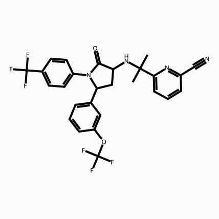 CC(C)(NC1CC(c2cccc(OC(F)(F)F)c2)N(c2ccc(C(F)(F)F)cc2)C1=O)c1cccc(C#N)n1